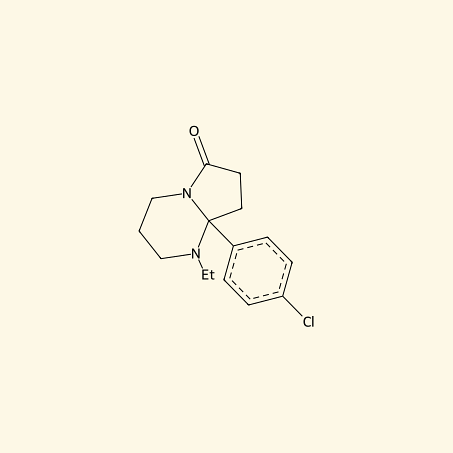 CCN1CCCN2C(=O)CCC12c1ccc(Cl)cc1